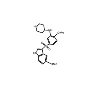 COc1ccc2[nH]cc(S(=O)(=O)c3ccc(OC)c(NC4CCNCC4)c3)c2c1